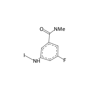 CNC(=O)c1cc(F)cc(NI)c1